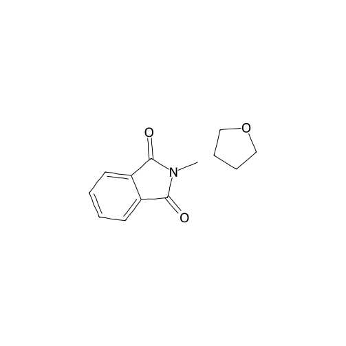 C1CCOC1.CN1C(=O)c2ccccc2C1=O